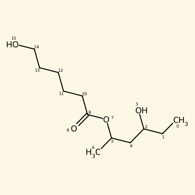 CCC(O)CC(C)OC(=O)CCCCCO